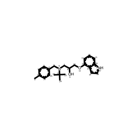 Cc1ccc(CN(CC(O)COc2cccc3[nH]ccc23)C(C)(C)C)cc1